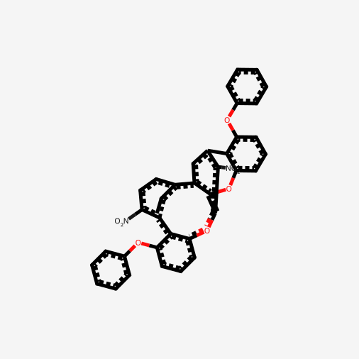 O=[N+]([O-])c1c2cc3c(c1oc1cccc(Oc4ccccc4)c1c1cc3ccc1[N+](=O)[O-])Oc1cccc(Oc3ccccc3)c1-2